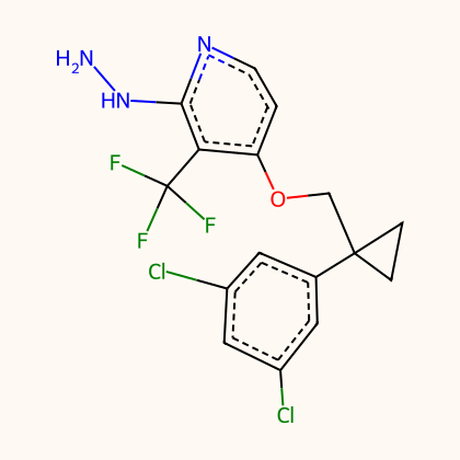 NNc1nccc(OCC2(c3cc(Cl)cc(Cl)c3)CC2)c1C(F)(F)F